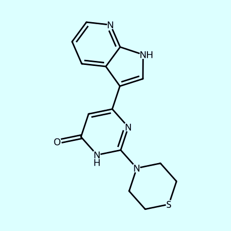 O=c1cc(-c2c[nH]c3ncccc23)nc(N2CCSCC2)[nH]1